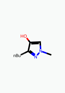 CCCCc1nn(C)cc1O